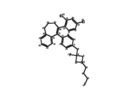 FCCCN1CC(F)(Cc2ccc(C3=C(c4ccc(Cl)cc4Cl)CCCc4ccccc43)cc2)C1